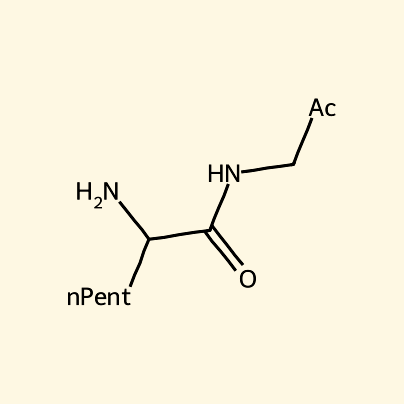 CCCCCC(N)C(=O)NCC(C)=O